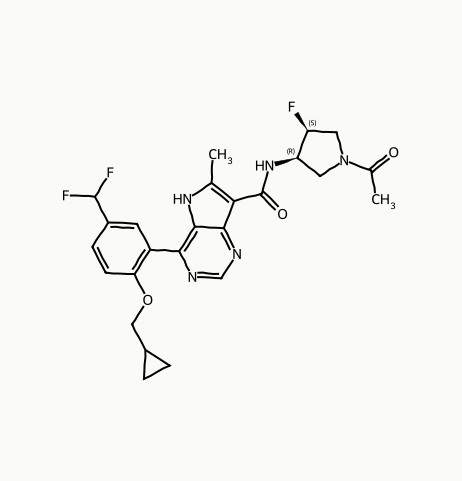 CC(=O)N1C[C@H](F)[C@H](NC(=O)c2c(C)[nH]c3c(-c4cc(C(F)F)ccc4OCC4CC4)ncnc23)C1